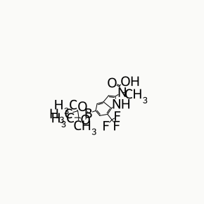 CN(C(=O)O)c1cc2cc(B3OC(C)(C)C(C)(C)O3)cc(C(F)(F)F)c2[nH]1